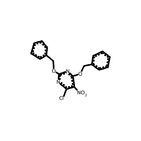 O=[N+]([O-])c1c(Cl)nc(OCc2ccccc2)nc1OCc1ccccc1